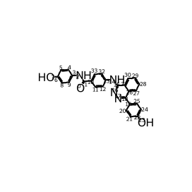 O=C(Nc1ccc(O)cc1)c1ccc(Nc2nnc(-c3ccc(O)cc3)c3ccccc23)cc1